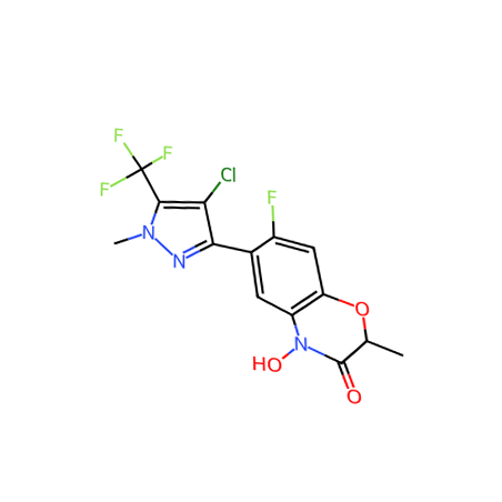 CC1Oc2cc(F)c(-c3nn(C)c(C(F)(F)F)c3Cl)cc2N(O)C1=O